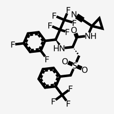 N#CC1(NC(=O)[C@H](CS(=O)(=O)Cc2ccccc2C(F)(F)F)N[C@@H](c2ccc(F)cc2F)C(F)(F)C(F)(F)F)CC1